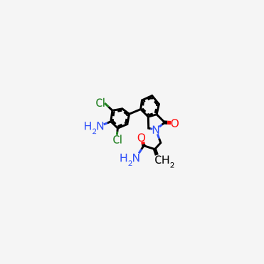 C=C(CN1Cc2c(cccc2-c2cc(Cl)c(N)c(Cl)c2)C1=O)C(N)=O